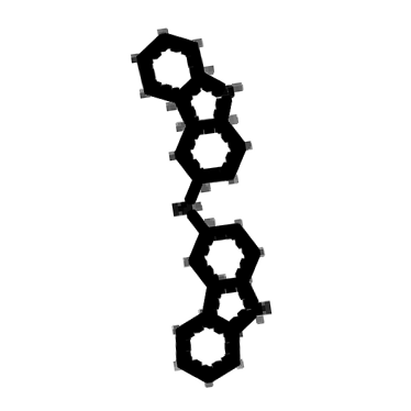 c1ccc2c(c1)[nH]c1ccc(Nc3ccc4oc5ccccc5c4c3)cc12